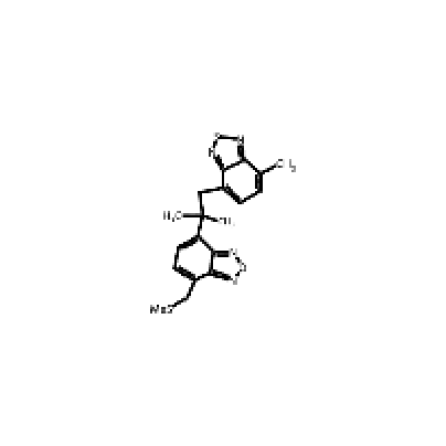 CSCc1ccc(C(C)(C)Cc2ccc(C)c3nsnc23)c2nonc12